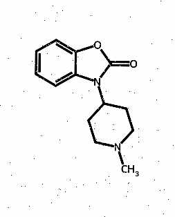 CN1CCC(n2c(=O)oc3ccccc32)CC1